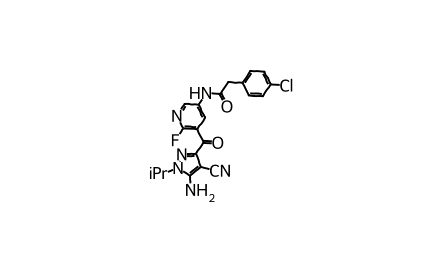 CC(C)n1nc(C(=O)c2cc(NC(=O)Cc3ccc(Cl)cc3)cnc2F)c(C#N)c1N